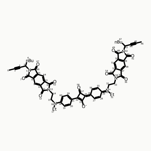 CC#CC(CCCC)n1c(=O)c2cc3c(=O)n(CCN(CC)c4ccc(C5=C([O-])C(=C6C=CC(=[N+](CC)CCn7c(=O)c8cc9c(=O)n(C(C#CC)CCCC)c(=O)c9cc8c7=O)C=C6)C5=O)cc4)c(=O)c3cc2c1=O